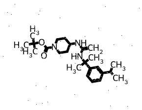 C=C(NC1CCN(C(=O)OC(C)(C)C)CC1)NC(C)(C)c1cccc(C(C)C)c1